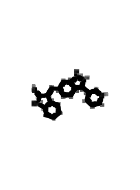 O=C1Nc2ccccc2/C1=C\c1ccc2c(-c3cccnc3)n[nH]c2c1